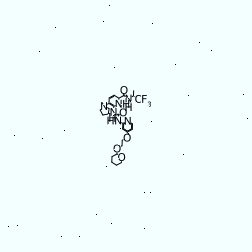 C[C@@H](NC(=O)C1C=CC2=C(N1)N(C(=O)Nc1cc(OCCOC3CCCCO3)ccn1)[C@H]1CCN2C1)C(F)(F)F